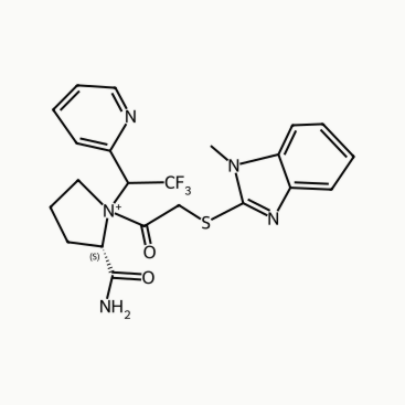 Cn1c(SCC(=O)[N+]2(C(c3ccccn3)C(F)(F)F)CCC[C@H]2C(N)=O)nc2ccccc21